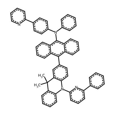 CC1(C)c2ccccc2N(c2cccc(-c3ccccc3)n2)c2ccc(-c3c4ccccc4c(N(c4ccccc4)c4ccc(-c5ccccn5)cc4)c4ccccc34)cc21